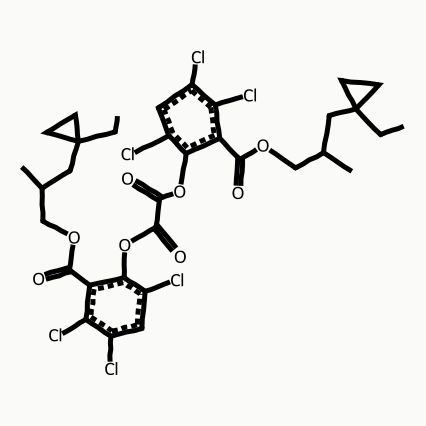 CCC1(CC(C)COC(=O)c2c(Cl)c(Cl)cc(Cl)c2OC(=O)C(=O)Oc2c(Cl)cc(Cl)c(Cl)c2C(=O)OCC(C)CC2(CC)CC2)CC1